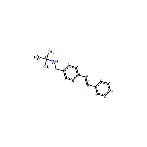 CC(C)(C)NCc1ccc(/C=C/c2ccccc2)cc1